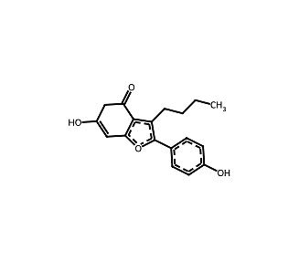 CCCCc1c(-c2ccc(O)cc2)oc2c1C(=O)CC(O)=C2